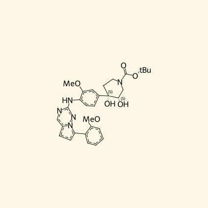 COc1cc([C@@]2(O)CCN(C(=O)OC(C)(C)C)C[C@@H]2O)ccc1Nc1ncc2ccc(-c3ccccc3OC)n2n1